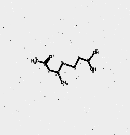 CC(=O)CN(C)CCCC(O)O